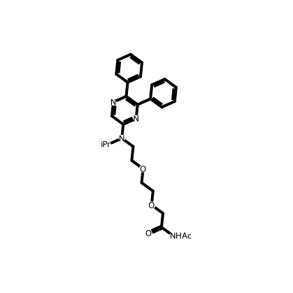 CC(=O)NC(=O)COCCOCCN(c1cnc(-c2ccccc2)c(-c2ccccc2)n1)C(C)C